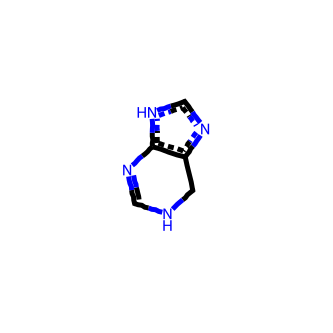 C1=Nc2[nH]cnc2CN1